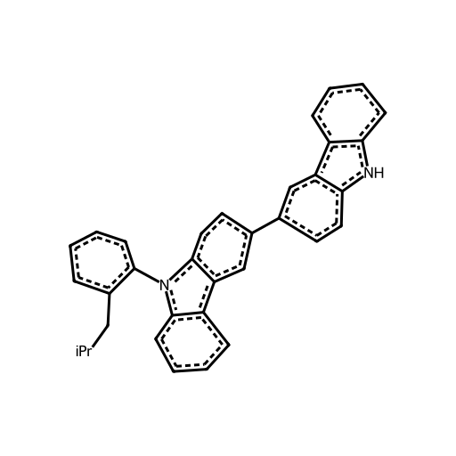 CC(C)Cc1ccccc1-n1c2ccccc2c2cc(-c3ccc4[nH]c5ccccc5c4c3)ccc21